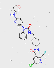 O=C(NC1CCC(Cn2c(=O)n(-c3ccc(N[C@H]4CCOC4)nc3)c3ccccc32)CC1)c1cc(Cl)cnc1C(F)(F)F